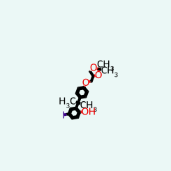 CC1(C)OCC(COc2ccc(C(C)(C)c3cc(I)ccc3O)cc2)O1